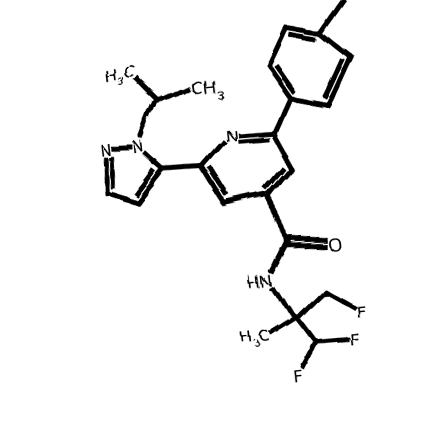 CC(C)n1nccc1-c1cc(C(=O)NC(C)(CF)C(F)F)cc(-c2ccc(Cl)cc2)n1